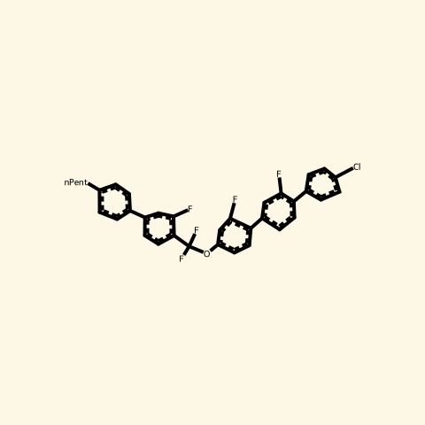 CCCCCc1ccc(-c2ccc(C(F)(F)Oc3ccc(-c4ccc(-c5ccc(Cl)cc5)c(F)c4)c(F)c3)c(F)c2)cc1